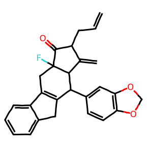 C=CCC1C(=C)C2C(c3ccc4c(c3)OCO4)C3=C(CC2(F)C1=O)c1ccccc1C3